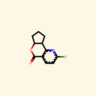 O=C1OC2CCCC2c2nc(Cl)ccc21